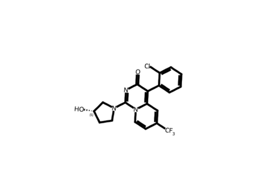 O=c1nc(N2CC[C@H](O)C2)n2ccc(C(F)(F)F)cc2c1-c1ccccc1Cl